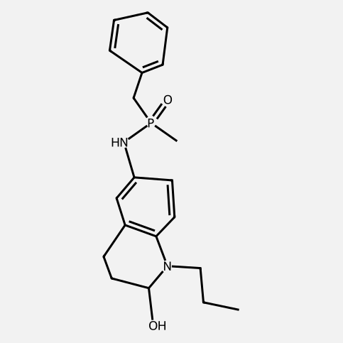 CCCN1c2ccc(NP(C)(=O)Cc3ccccc3)cc2CCC1O